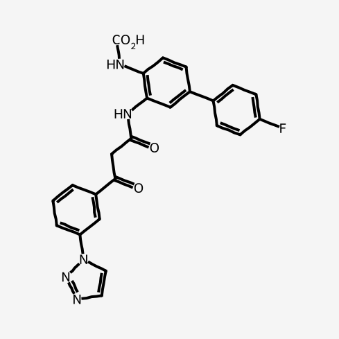 O=C(O)Nc1ccc(-c2ccc(F)cc2)cc1NC(=O)CC(=O)c1cccc(-n2ccnn2)c1